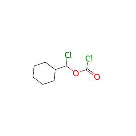 O=C(Cl)OC(Cl)C1CCCCC1